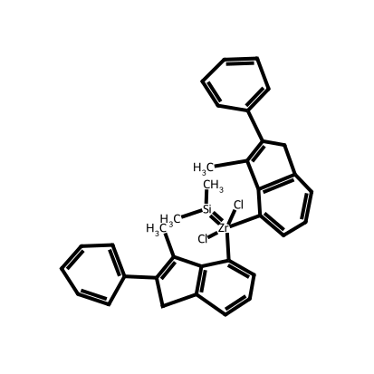 CC1=C(c2ccccc2)Cc2ccc[c]([Zr]([Cl])([Cl])([c]3cccc4c3C(C)=C(c3ccccc3)C4)=[Si](C)C)c21